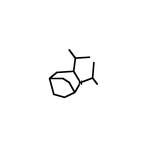 CC(C)C1CC2CCC(CC2)N1C(C)C